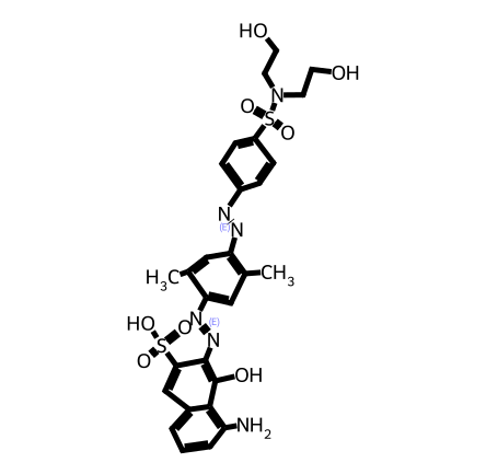 Cc1cc(/N=N/c2c(S(=O)(=O)O)cc3cccc(N)c3c2O)c(C)cc1/N=N/c1ccc(S(=O)(=O)N(CCO)CCO)cc1